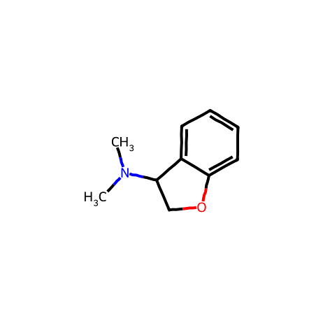 CN(C)C1COc2ccccc21